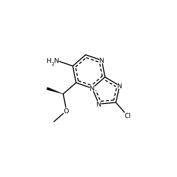 CO[C@@H](C)c1c(N)cnc2nc(Cl)nn12